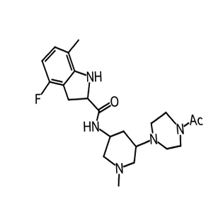 CC(=O)N1CCN(C2CC(NC(=O)C3Cc4c(F)ccc(C)c4N3)CN(C)C2)CC1